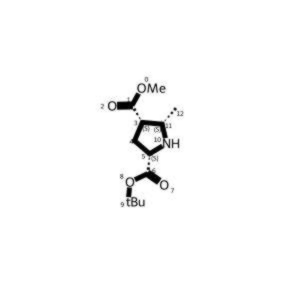 COC(=O)[C@H]1C[C@@H](C(=O)OC(C)(C)C)N[C@H]1C